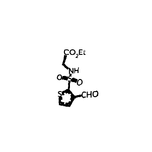 CCOC(=O)CNS(=O)(=O)c1sccc1C=O